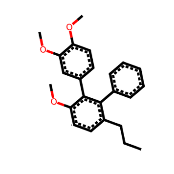 CCCc1c[c]c(OC)c(-c2ccc(OC)c(OC)c2)c1-c1ccccc1